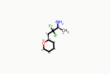 C[C@H](N)C(F)(F)C[C@H]1CCCCO1